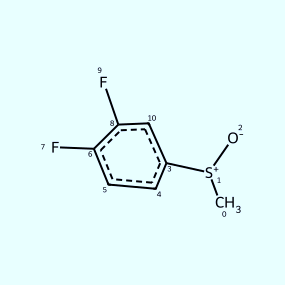 C[S+]([O-])c1ccc(F)c(F)c1